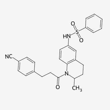 CC1CCc2cc(NS(=O)(=O)c3ccccc3)ccc2N1C(=O)CCc1ccc(C#N)cc1